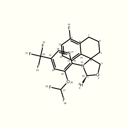 [2H][C@@H]1OCC2(CCCc3c(F)cccc32)N1c1ncc(C(F)(F)F)cc1OC(F)F